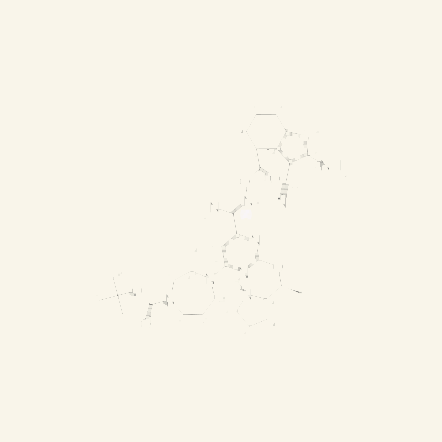 C[C@H](Oc1nc(/C(N)=N/OC(=O)[C@@]2(C)CCCc3sc(N)c(C#N)c32)cc(N2CCCN(C(=O)OC(C)(C)C)C[C@@H]2C)n1)[C@@H]1CCCN1C